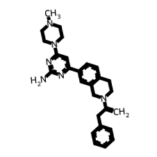 C=C(Cc1ccccc1)N1CCc2ccc(-c3cc(N4CCN(C)CC4)nc(N)n3)cc2C1